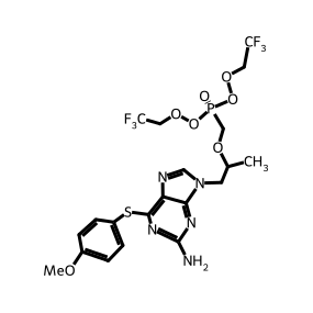 COc1ccc(Sc2nc(N)nc3c2ncn3CC(C)OCP(=O)(OOCC(F)(F)F)OOCC(F)(F)F)cc1